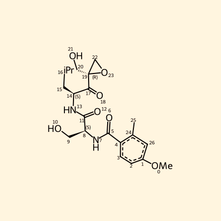 COc1ccc(C(=O)N[C@@H](CO)C(=O)N[C@@H](CC(C)C)C(=O)[C@@]2(CO)CO2)c(C)c1